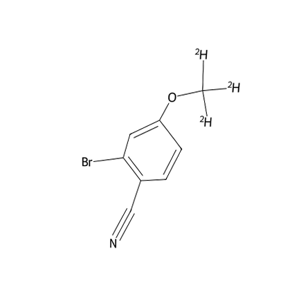 [2H]C([2H])([2H])Oc1ccc(C#N)c(Br)c1